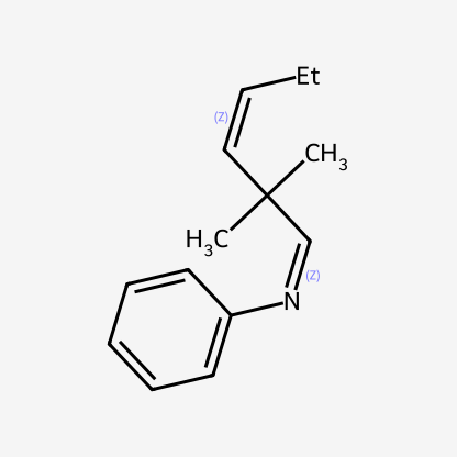 CC/C=C\C(C)(C)/C=N\c1ccccc1